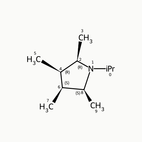 CC(C)N1[C@H](C)[C@H](C)[C@H](C)[C@@H]1C